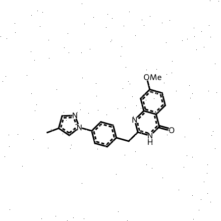 COc1ccc2c(=O)[nH]c(Cc3ccc(-n4cc(C)cn4)cc3)nc2c1